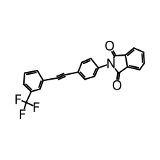 O=C1c2ccccc2C(=O)N1c1ccc(C#Cc2cccc(C(F)(F)F)c2)cc1